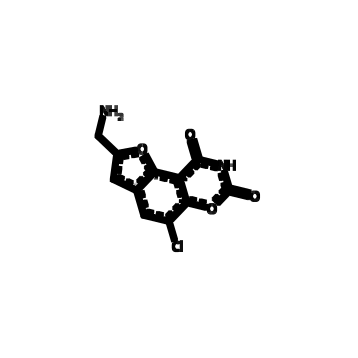 NCc1cc2cc(Cl)c3oc(=O)[nH]c(=O)c3c2o1